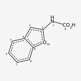 O=C(O)Nc1cc2ccccc2o1